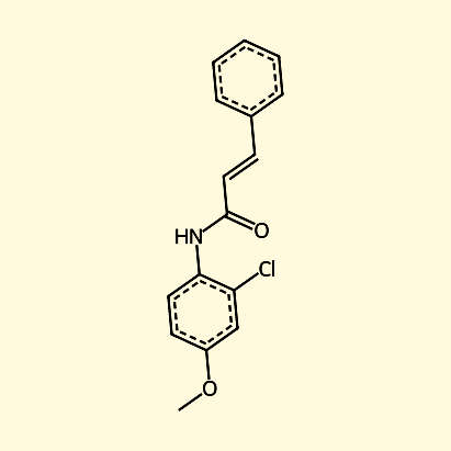 COc1ccc(NC(=O)C=Cc2ccccc2)c(Cl)c1